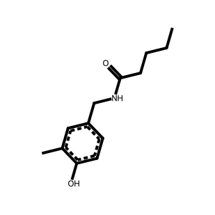 CCCCC(=O)NCc1ccc(O)c(C)c1